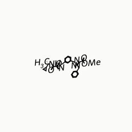 COC(=O)c1nc(-c2cccc(-c3ncc(C(=O)N[C@@H](C)C4CC4)o3)c2)nn1Cc1ccccc1